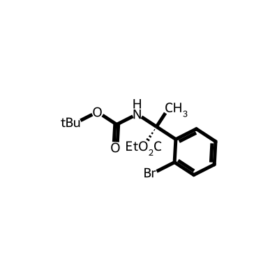 CCOC(=O)[C@@](C)(NC(=O)OC(C)(C)C)c1ccccc1Br